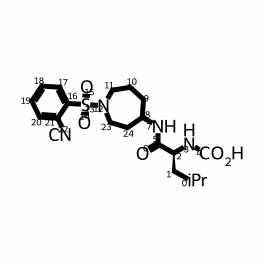 CC(C)C[C@H](NC(=O)O)C(=O)NC1CCCN(S(=O)(=O)c2ccccc2C#N)CC1